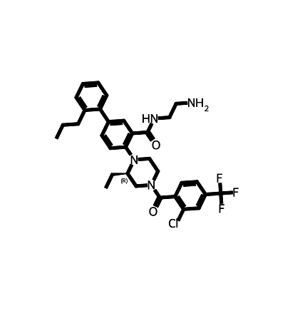 CCCc1ccccc1-c1ccc(N2CCN(C(=O)c3ccc(C(F)(F)F)cc3Cl)C[C@H]2CC)c(C(=O)NCCN)c1